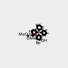 COC(OC)[SiH2]COc1ccc(O)cc1[P+](c1ccccc1)(c1ccccc1)c1ccccc1.[Br-]